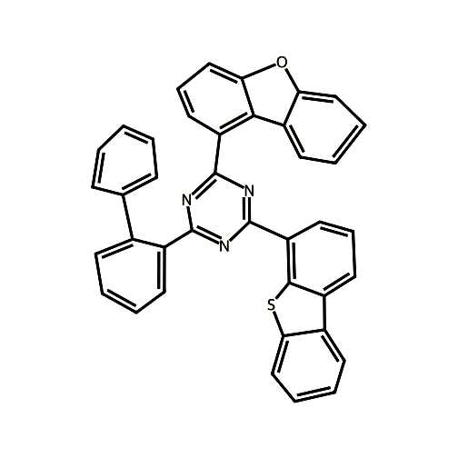 c1ccc(-c2ccccc2-c2nc(-c3cccc4c3sc3ccccc34)nc(-c3cccc4oc5ccccc5c34)n2)cc1